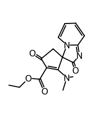 CCOC(=O)C1=C(N(C)C)C2(CC1=O)C(=O)N=C1C=CC=CN12